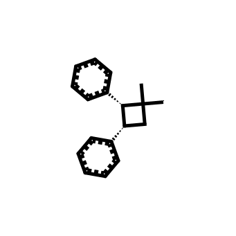 CC1(C)C[C@H](c2ccccc2)[C@@H]1c1ccccc1